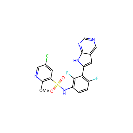 COc1ncc(Cl)cc1S(=O)(=O)Nc1ccc(F)c(-c2cc3cncnc3[nH]2)c1F